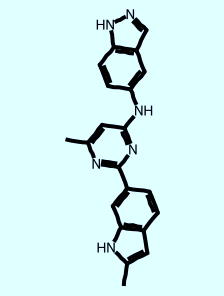 Cc1cc(Nc2ccc3[nH]ncc3c2)nc(-c2ccc3cc(C)[nH]c3c2)n1